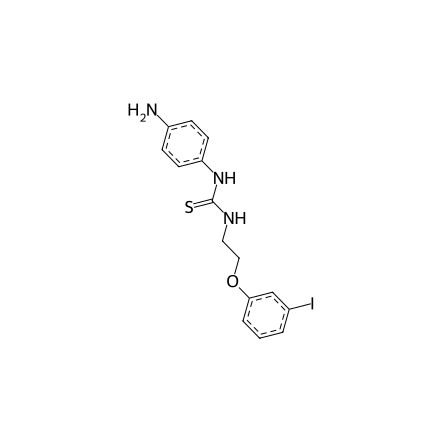 Nc1ccc(NC(=S)NCCOc2cccc(I)c2)cc1